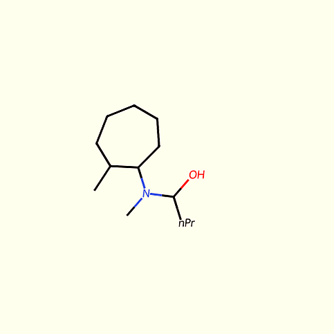 CCCC(O)N(C)C1CCCCCC1C